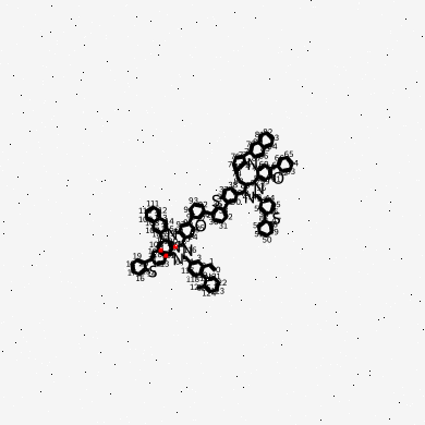 C=Cc1cc(-c2nc(-c3ccc4c(c3)sc3ccccc34)nc(-c3cc4oc5c(-c6cccc7c6sc6ccc(C8=NC(c9ccc%10sc%11ccccc%11c%10c9)=NC9c%10cc%11oc%12ccccc%12c%11cc%10-n%10c%11cc(ccc%11c%11cc%12ccccc%12cc%11%10)CC89)cc67)cccc5c4cc3-n3c4ccccc4c4cc5ccccc5cc43)n2)ccc1-c1ccccc1C